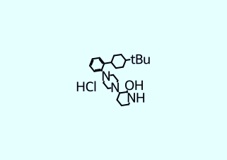 CC(C)(C)C1CCC(c2ccccc2N2CCN(C3CCCNC3O)CC2)CC1.Cl